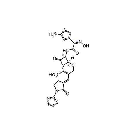 Nc1nc(/C(=N/O)C(=O)N[C@@H]2C(=O)N3C(C(=O)O)=C(C=C4CCN(c5nncs5)C4=O)CS[C@H]23)cs1